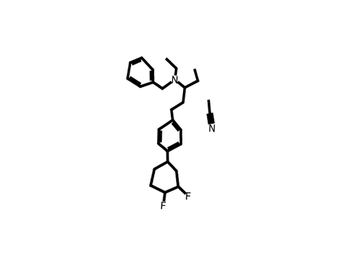 CC#N.CCC(CCc1ccc(C2CCC(F)C(F)C2)cc1)N(CC)Cc1ccccc1